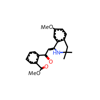 COC(=O)c1ccccc1C(=O)/C=C1\NC(C)(C)Cc2ccc(OC)cc21